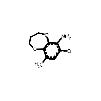 Cc1cc(Cl)c(N)c2c1OCCCO2